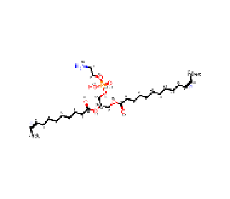 CCCC/C=C\CCCCCCCC(=O)O[C@H](COC(=O)CCCCCCCCC/C=C\CCCCCCCCCC)COP(=O)(O)OCCN